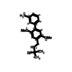 CCC(C)(C)NCc1cc(OC)c(-c2cccc(N)n2)cc1OC